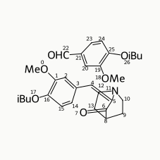 COc1cc(/C=C2\C(=O)C3CCN2CC3)ccc1OCC(C)C.COc1cc(C=O)ccc1OCC(C)C